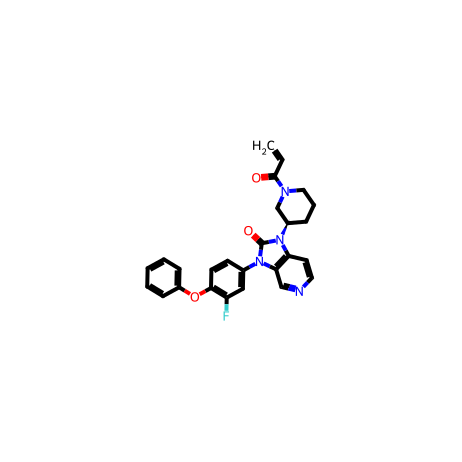 C=CC(=O)N1CCC[C@@H](n2c(=O)n(-c3ccc(Oc4ccccc4)c(F)c3)c3cnccc32)C1